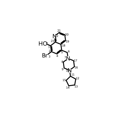 Oc1c(Br)cc(CN2CCN(C3CCCC3)CC2)c2cccnc12